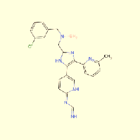 BN(Cc1cccc(Cl)c1)Cc1nc(-c2cccc(C)n2)c(-c2cc/c(=N/C=N)[nH]c2)[nH]1